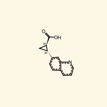 O=C(O)[C@@H]1C[C@H]1c1ccc2cccnc2c1